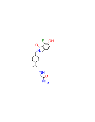 CC(CCNCC(N)=O)C1CCC(CN2Cc3ccc(O)c(F)c3C2=O)CC1